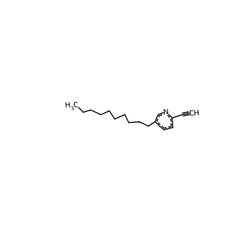 C#Cc1ccc(CCCCCCCCCC)cn1